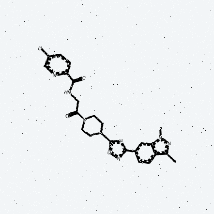 Cc1nn(C)c2cc(-c3noc(C4CCN(C(=O)CNC(=O)c5ccc(Cl)cn5)CC4)n3)ccc12